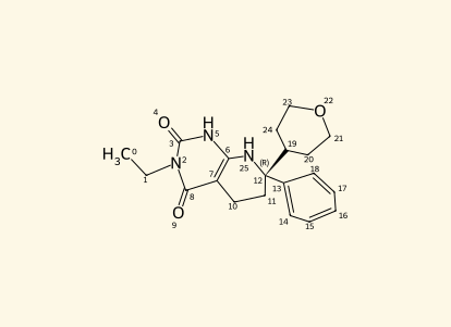 CCn1c(=O)[nH]c2c(c1=O)CC[C@](c1ccccc1)(C1CCOCC1)N2